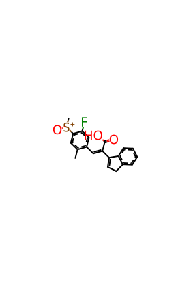 Cc1cc([S+](C)[O-])c(F)cc1C=C(C(=O)O)C1=CCc2ccccc21